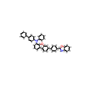 c1ccc(-c2ccc(N(c3ccccc3)c3cccc4c3oc3cc(-c5ccc(-c6nc7ccccc7o6)cc5)ccc34)cc2)cc1